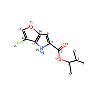 CC(C)C(C)OC(=O)c1cc2occ(F)c2[nH]1